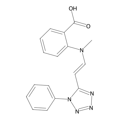 CN(C=Cc1nnnn1-c1ccccc1)c1ccccc1C(=O)O